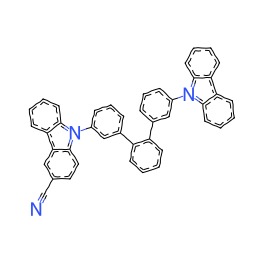 N#Cc1ccc2c(c1)c1ccccc1n2-c1cccc(-c2ccccc2-c2cccc(-n3c4ccccc4c4ccccc43)c2)c1